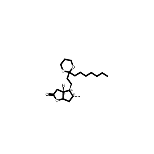 CCCCCCCC1(CC[C@H]2[C@H](C)CC3OC(=O)C[C@@H]32)OCCCO1